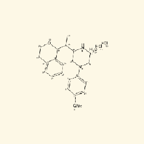 COc1ccc(N2CCNC(C(C)C3OCCc4ccccc43)C2)cc1.Cl.Cl.O